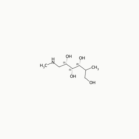 CNC[C@H](O)[C@@H](O)[C@H](O)C(C)CO